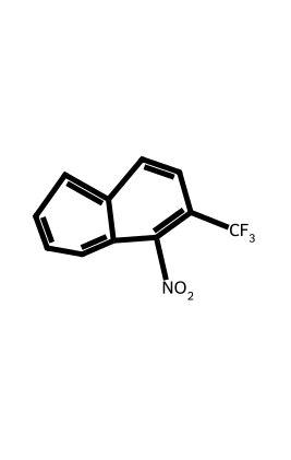 O=[N+]([O-])c1c(C(F)(F)F)ccc2ccccc12